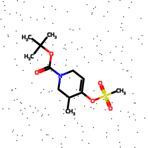 CC1CN(C(=O)OC(C)(C)C)CC=C1OS(C)(=O)=O